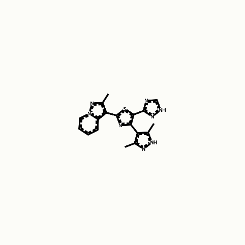 Cc1n[nH]c(C)c1-c1nc(-c2c(C)nn3ccccc23)sc1-c1nc[nH]n1